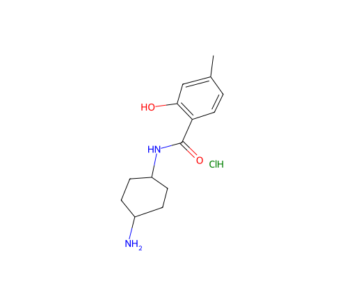 Cc1ccc(C(=O)NC2CCC(N)CC2)c(O)c1.Cl